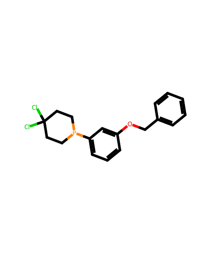 ClC1(Cl)CCP(c2cccc(OCc3ccccc3)c2)CC1